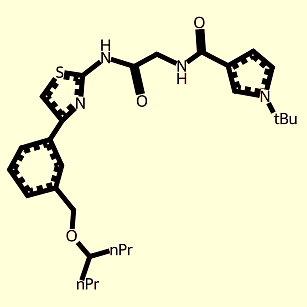 CCCC(CCC)OCc1cccc(-c2csc(NC(=O)CNC(=O)c3ccn(C(C)(C)C)c3)n2)c1